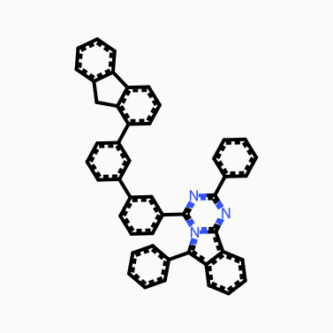 c1ccc(-c2nc(-c3cccc(-c4cccc(-c5cccc6c5Cc5ccccc5-6)c4)c3)n3c(-c4ccccc4)c4ccccc4c3n2)cc1